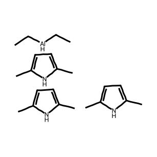 C[CH2][AlH][CH2]C.Cc1ccc(C)[nH]1.Cc1ccc(C)[nH]1.Cc1ccc(C)[nH]1